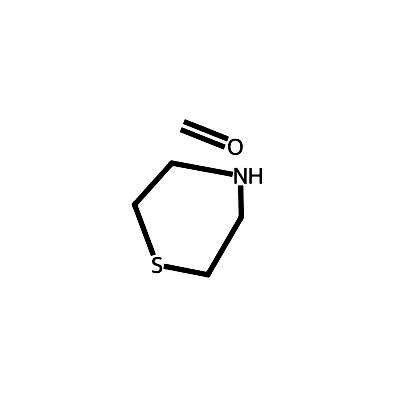 C1CSCCN1.C=O